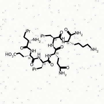 CC(C)C[C@H](NC(=O)[C@H](CCC(N)=O)NC(=O)[C@H](CC(C)C)NC(=O)[C@H](CCC(=O)O)NC(=O)[C@@H](N)CC(C)C)C(=O)N[C@@H](CCCCN)C(N)=O